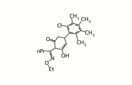 CCCC(=NOCC)C1C(=O)CC(c2c(C)c(C)c(C)c(C)c2Cl)C=C1O